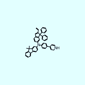 C=CC1=Cc2ccc(N(c3ccc(C4=CCNC=C4)cc3)c3ccc4c(c3)C(C)(C)c3ccccc3-4)cc2C1(c1ccccc1)c1ccccc1